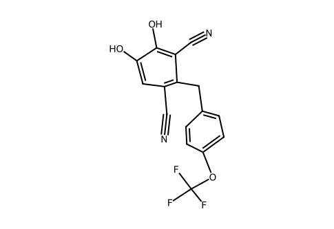 N#Cc1cc(O)c(O)c(C#N)c1Cc1ccc(OC(F)(F)F)cc1